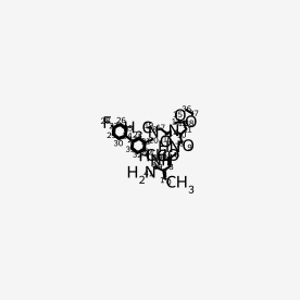 C/C=C(\C=C(/C)CNC(=O)C1CC2(CN1C(=O)CN(C)Cc1cc(-c3ccc(F)cc3)ccc1C=O)OCCO2)C(=N)N